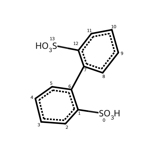 O=S(=O)(O)c1ccccc1-c1ccccc1S(=O)(=O)O